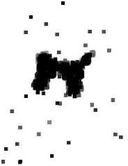 CCOCCn1nc2c3ccccc3oc(-c3ccc(C(F)(F)F)cc3)c-2c1=O.Cn1nc2c3ccccc3oc(-c3ccc(C(F)(F)F)cc3)c-2c1=O